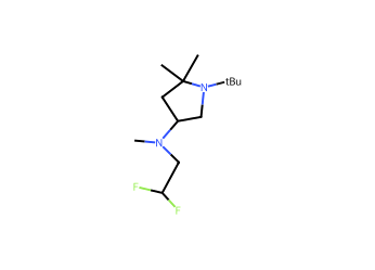 CN(CC(F)F)C1CN(C(C)(C)C)C(C)(C)C1